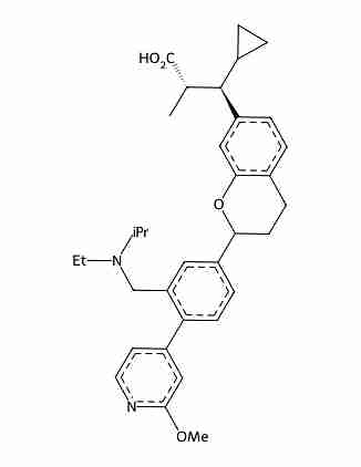 CCN(Cc1cc(C2CCc3ccc([C@H](C4CC4)[C@H](C)C(=O)O)cc3O2)ccc1-c1ccnc(OC)c1)C(C)C